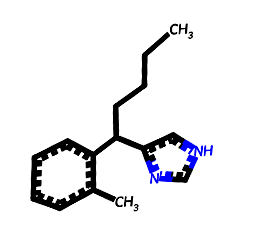 CCCCC(c1c[nH]cn1)c1ccccc1C